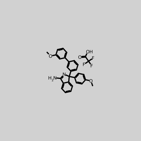 COc1ccc(C2(c3cccc(-c4cccc(OC)c4)c3)N=C(N)c3ccccc32)cc1.O=C(O)C(F)(F)F